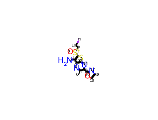 Cc1nc2c(N)c([S+]([O-])CCI)sc2nc1-c1ncco1